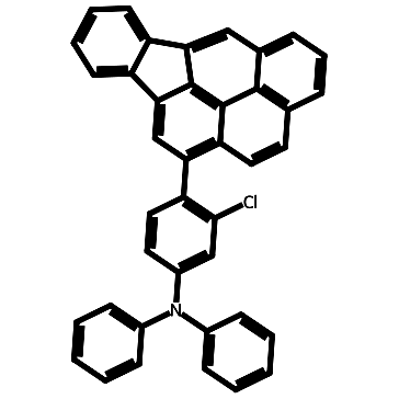 Clc1cc(N(c2ccccc2)c2ccccc2)ccc1-c1cc2c3c(cc4cccc5ccc1c3c54)-c1ccccc1-2